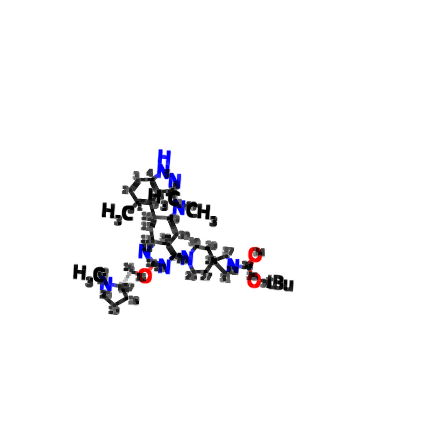 Cc1ccc2[nH]ncc2c1-c1cc2nc(OC[C@@H]3CCCN3C)nc(N3CCC4(CC3)CN(C(=O)OC(C)(C)C)C4)c2cc1N(C)C